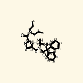 CCCN(CCC)C(=O)c1ncc(CN2C(=N)NC(c3ccccc3)(c3ccccc3)C2=O)[nH]1